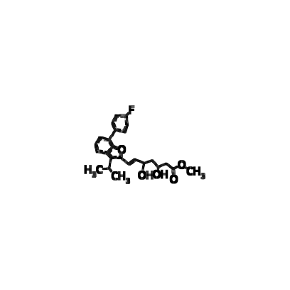 COC(=O)CC(O)CC(O)C=Cc1oc2c(-c3ccc(F)cc3)cccc2c1C(C)C